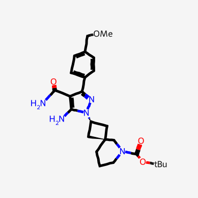 COCc1ccc(-c2nn([C@H]3C[C@@]4(CCCN(C(=O)OC(C)(C)C)C4)C3)c(N)c2C(N)=O)cc1